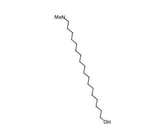 CNCCCCCCCCCCCCCCCCCCO